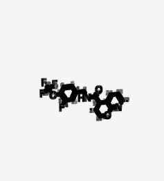 O=C(NCc1ccc(OC(F)(F)F)c(F)c1)C1CCOc2ncccc21